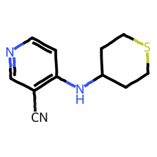 N#Cc1cnccc1NC1CCSCC1